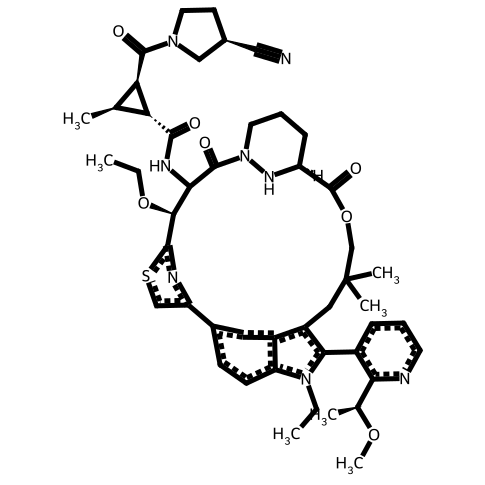 CCO[C@@H]1c2nc(cs2)-c2ccc3c(c2)c(c(-c2cccnc2[C@H](C)OC)n3CC)CC(C)(C)COC(=O)[C@@H]2CCCN(N2)C(=O)C1NC(=O)[C@@H]1[C@@H](C)[C@H]1C(=O)N1CC[C@@H](C#N)C1